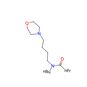 CCCCN(CCCCN1CCOCC1)C(=O)CCC